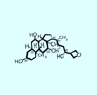 C[C@H](CC[C@@H](O)C1COC1)[C@H]1CC[C@H]2[C@@H]3[C@H](O)C[C@@H]4C[C@H](O)CC[C@]4(C)[C@H]3C[C@H](O)[C@]12C